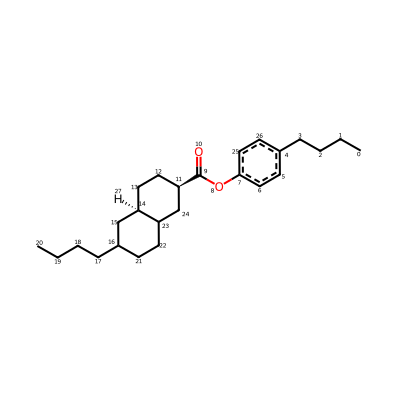 CCCCc1ccc(OC(=O)[C@@H]2CC[C@@H]3CC(CCCC)CCC3C2)cc1